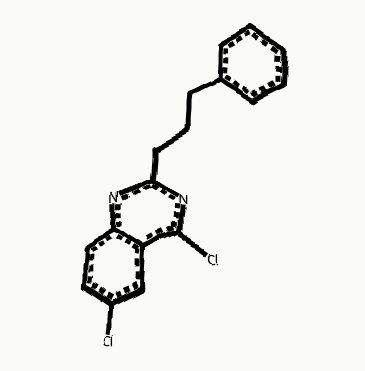 Clc1ccc2nc(CCCc3ccccc3)nc(Cl)c2c1